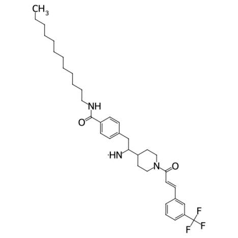 CCCCCCCCCCCCNC(=O)c1ccc(CC([NH])C2CCN(C(=O)/C=C/c3cccc(C(F)(F)F)c3)CC2)cc1